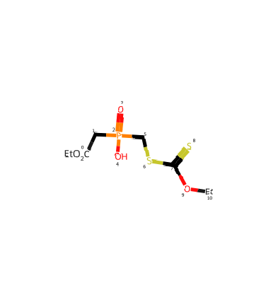 CCOC(=O)CP(=O)(O)CSC(=S)OCC